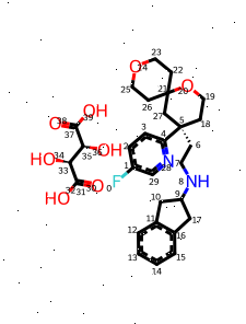 Fc1ccc([C@]2(CCNC3Cc4ccccc4C3)CCOC3(CCOCC3)C2)nc1.O=C(O)[C@@H](O)[C@H](O)C(=O)O